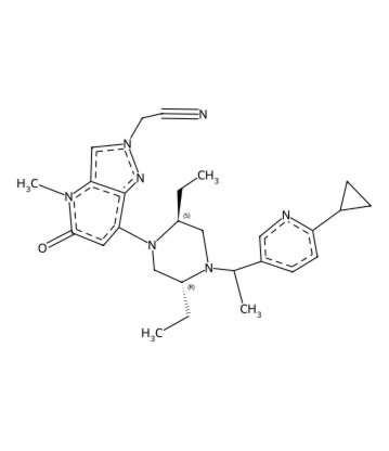 CC[C@H]1CN(C(C)c2ccc(C3CC3)nc2)[C@H](CC)CN1c1cc(=O)n(C)c2cn(CC#N)nc12